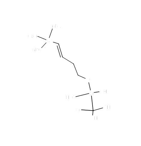 CCC[CH2][Sn]([CH]=CCCO[Si](C)(C)C(C)(C)C(C)C)([CH2]CCC)[CH2]CCC